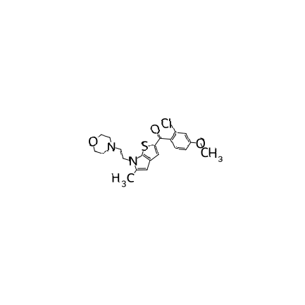 COc1ccc(C(=O)c2cc3cc(C)n(CCN4CCOCC4)c3s2)c(Cl)c1